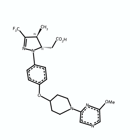 COc1cncc(N2CCC(Oc3ccc(N4N=C(C(F)(F)F)[C@@H](C)[C@@H]4CC(=O)O)cc3)CC2)n1